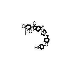 O=C1CCC(N2Cc3cc(N4CCN(CC5CCC(OC6CCNCC6)CC5)CC4)c(F)cc3C2=O)C(=O)N1